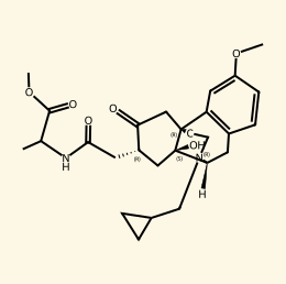 COC(=O)C(C)NC(=O)C[C@H]1C[C@@]2(O)[C@H]3Cc4ccc(OC)cc4[C@@]2(CCN3CC2CC2)CC1=O